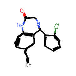 C#Cc1ccc2c(c1)C(c1ccccc1Cl)=NCC(=O)N2